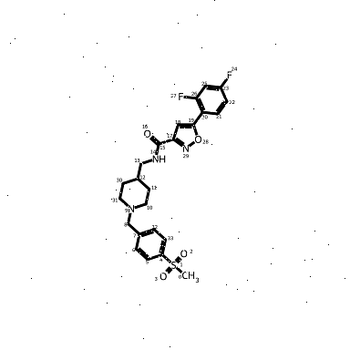 CS(=O)(=O)c1ccc(CN2CCC(CNC(=O)c3cc(-c4ccc(F)cc4F)on3)CC2)cc1